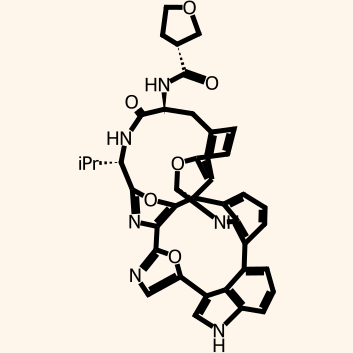 CC(C)[C@@H]1NC(=O)[C@@H](NC(=O)[C@@H]2CCOC2)Cc2ccc3c(c2)[C@]24c5cccc(c5NC2O3)-c2cccc3[nH]cc(c23)-c2cnc(o2)-c2nc1oc24